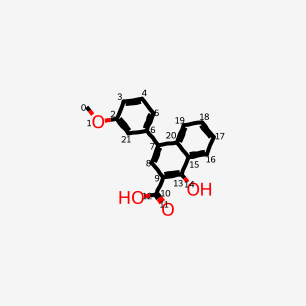 COc1cccc(-c2cc(C(=O)O)c(O)c3ccccc23)c1